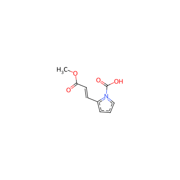 COC(=O)/C=C/c1cccn1C(=O)O